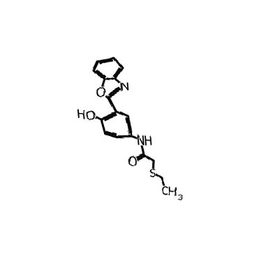 CCSCC(=O)Nc1ccc(O)c(-c2nc3ccccc3o2)c1